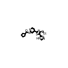 CCOc1nc(-c2ccnc(NC(=O)C3CCCC3)c2)sc1-c1nnc[nH]1